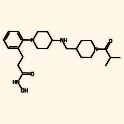 CC(C)C(=O)N1CCC(CNC2CCN(c3ccccc3CCC(=O)NO)CC2)CC1